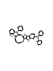 C=C1/C=C\C=C/Cc2c(sc3c2sc2cc(N(c4ccccc4)c4ccccc4)ccc23)/C=C\1N(c1ccccc1)c1ccccc1